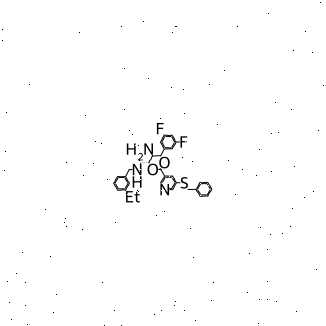 CCc1cccc(CNC[C@@H](OC(=O)c2cncc(SCc3ccccc3)c2)[C@@H](N)Cc2cc(F)cc(F)c2)c1